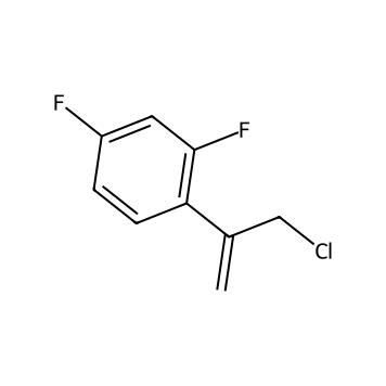 C=C(CCl)c1ccc(F)cc1F